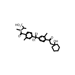 CCC(CC)(c1ccc(C(=O)CC2(O)CCCCC2)c(C)c1)c1ccc(C(=O)N(C)C(C)C(=O)O)c(C)c1